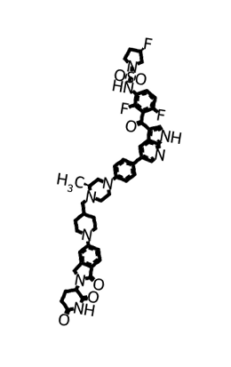 C[C@H]1CN(c2ccc(-c3cnc4[nH]cc(C(=O)c5c(F)ccc(NS(=O)(=O)N6CC[C@@H](F)C6)c5F)c4c3)cc2)CCN1CC1CCN(c2ccc3c(c2)CN(C2CCC(=O)NC2=O)C3=O)CC1